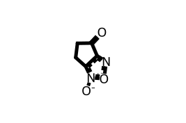 O=C1CCc2c1no[n+]2[O-]